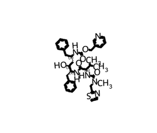 CC(C)[C@H](NC(=O)N(C)Cc1nccs1)C(=O)N[C@@H](Cc1ccccc1)[C@@H](O)C[C@H](Cc1ccccc1)NC(=O)OCc1cccnc1